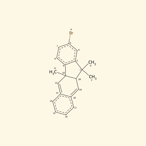 CC1(C)c2cc(Br)ccc2C2(C)C=c3ccccc3=CC12